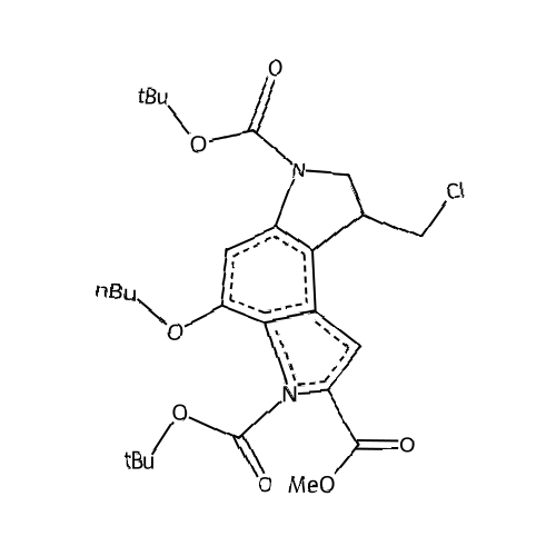 CCCCOc1cc2c(c3cc(C(=O)OC)n(C(=O)OC(C)(C)C)c13)C(CCl)CN2C(=O)OC(C)(C)C